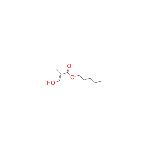 CCCCCOC(=O)C(C)=CO